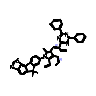 C=C/C(=C\c1c(/C=C\C)c(C=C)n(-c2ccc3c(c2)C(C)(C)c2ccc4ncsc4c2-3)c1C)c1nc(-c2ccccc2)nc(-c2ccccc2)n1